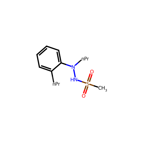 CCCc1ccccc1N(CCC)NS(C)(=O)=O